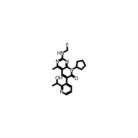 Cc1nc(NCF)nc2c1cc(-c1cccnc1C(C)O)c(=O)n2C1CCCC1